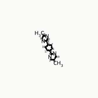 Cc1cnc(-c2ccc(-c3cnc(C)cn3)cc2)nc1